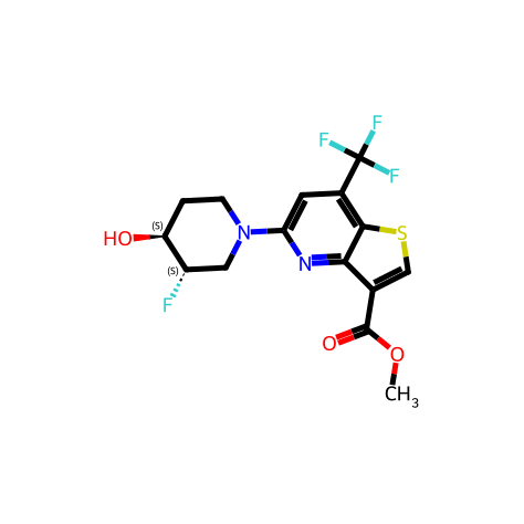 COC(=O)c1csc2c(C(F)(F)F)cc(N3CC[C@H](O)[C@@H](F)C3)nc12